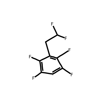 Fc1[c]c(F)c(F)c(CC(F)F)c1F